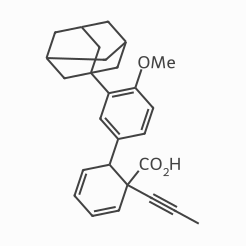 CC#CC1(C(=O)O)C=CC=CC1c1ccc(OC)c(C23CC4CC(CC(C4)C2)C3)c1